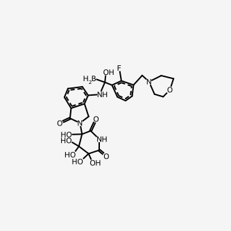 BC(O)(Nc1cccc2c1CN(C1(O)C(=O)NC(=O)C(O)(O)C1(O)O)C2=O)c1cccc(CN2CCOCC2)c1F